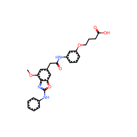 COc1cc(CC(=O)Nc2cccc(OCCCC(=O)O)c2)cc2oc(Nc3ccccc3)nc12